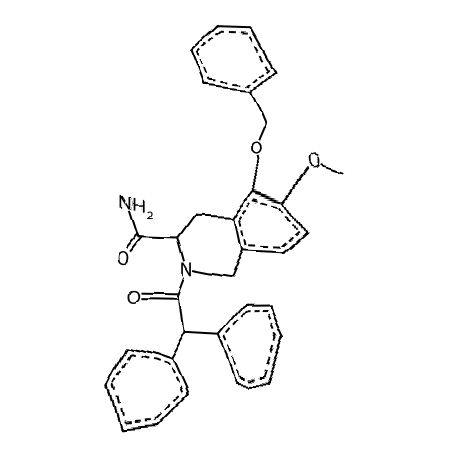 COc1ccc2c(c1OCc1ccccc1)CC(C(N)=O)N(C(=O)C(c1ccccc1)c1ccccc1)C2